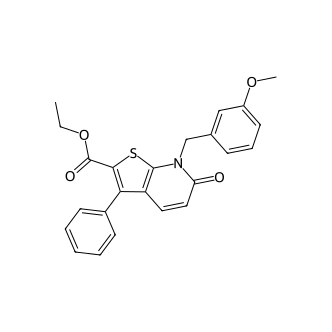 CCOC(=O)c1sc2c(ccc(=O)n2Cc2cccc(OC)c2)c1-c1ccccc1